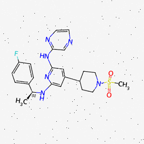 C[C@H](Nc1cc(C2CCN(S(C)(=O)=O)CC2)cc(Nc2cnccn2)n1)c1ccc(F)cc1